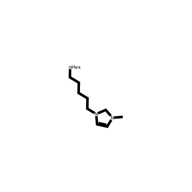 CCCCCCCCCCCN1C=CN(C)C1